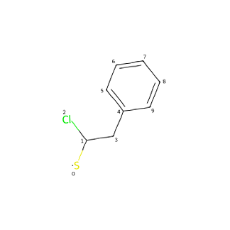 [S]C(Cl)Cc1ccccc1